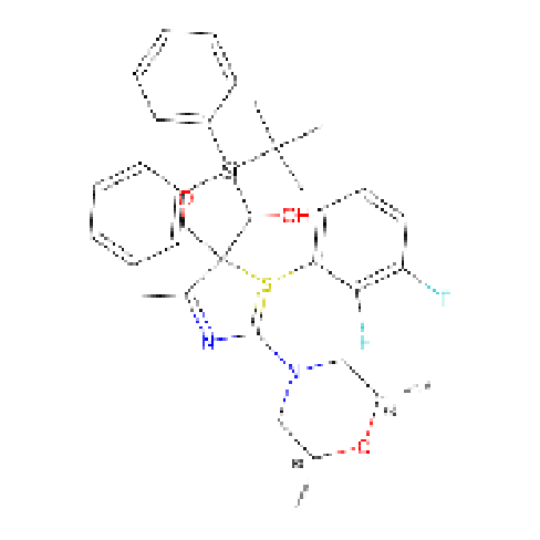 CC1=NC(N2C[C@@H](C)O[C@@H](C)C2)=S(c2cccc(F)c2F)C1(C=O)C(O)[Si](c1ccccc1)(c1ccccc1)C(C)(C)C